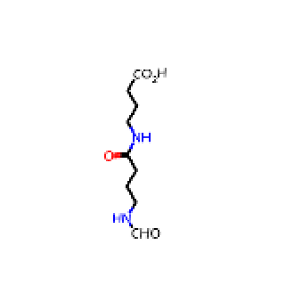 O=CNCCCC(=O)NCCCC(=O)O